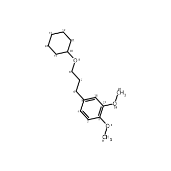 COc1ccc(CCCOC2[CH]CCCC2)cc1OC